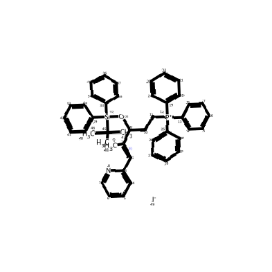 C/C(=C\c1ccccn1)C(CC[P+](c1ccccc1)(c1ccccc1)c1ccccc1)O[Si](c1ccccc1)(c1ccccc1)C(C)(C)C.[I-]